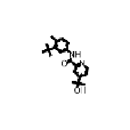 Cc1ccc(NC(=O)c2cc(C(C)(C)O)ccn2)cc1C(C)(C)C